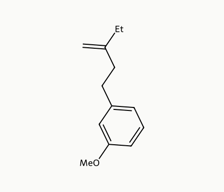 C=C(CC)CCc1cccc(OC)c1